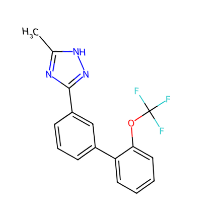 Cc1nc(-c2cccc(-c3ccccc3OC(F)(F)F)c2)n[nH]1